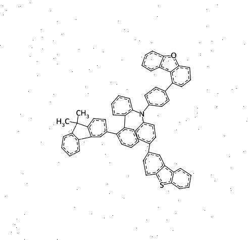 CC1(C)c2ccccc2-c2cc(-c3ccccc3-c3ccccc3N(c3ccc(-c4ccc5sc6ccccc6c5c4)cc3)c3ccc(-c4cccc5oc6ccccc6c45)cc3)ccc21